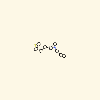 c1ccc2cc(-c3ccc(-n4c5ccccc5c5cc(-c6ccc7c(c6)c6ccccc6n7-c6cccc7sc8ccccc8c67)ccc54)cc3)ccc2c1